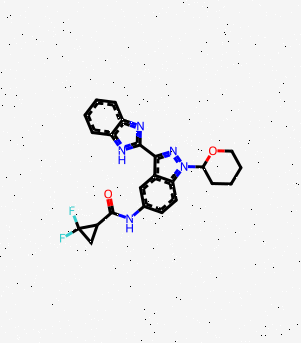 O=C(Nc1ccc2c(c1)c(-c1nc3ccccc3[nH]1)nn2C1CCCCO1)C1CC1(F)F